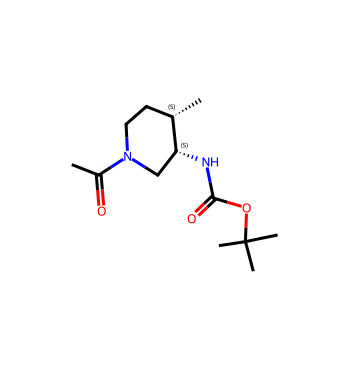 CC(=O)N1CC[C@H](C)[C@H](NC(=O)OC(C)(C)C)C1